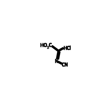 CC(=NC#N)C(=O)O.Cl